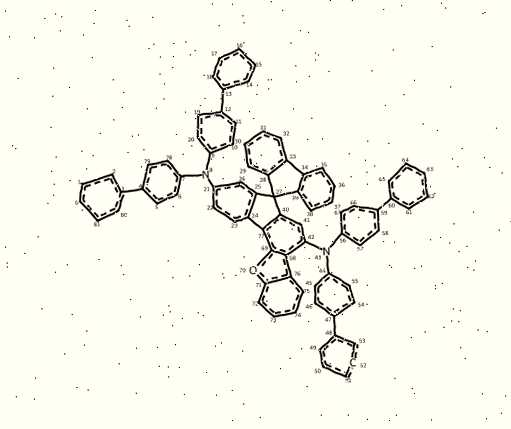 c1ccc(-c2ccc(N(c3ccc(-c4ccccc4)cc3)c3ccc4c(c3)C3(c5ccccc5-c5ccccc53)c3cc(N(c5ccc(-c6ccccc6)cc5)c5ccc(-c6ccccc6)cc5)c5c(oc6ccccc65)c3-4)cc2)cc1